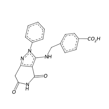 O=C1Cc2nn(-c3ccccc3)c(NCc3ccc(C(=O)O)cc3)c2C(=O)N1